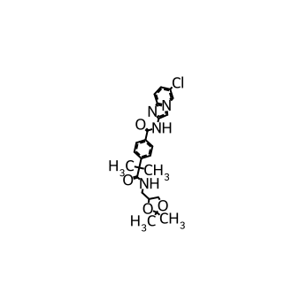 CC1(C)OCC(CNC(=O)C(C)(C)c2ccc(C(=O)Nc3cn4cc(Cl)ccc4n3)cc2)O1